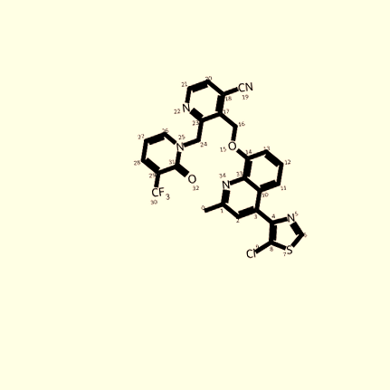 Cc1cc(-c2ncsc2Cl)c2cccc(OCc3c(C#N)ccnc3Cn3cccc(C(F)(F)F)c3=O)c2n1